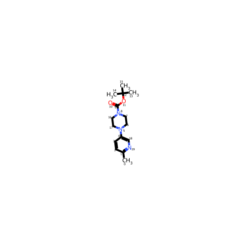 Cc1ccc(N2CCN(C(=O)OC(C)(C)C)CC2)cn1